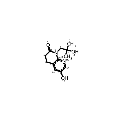 CC(C)(O)CN1C(=O)CCc2cc(O)cnc21